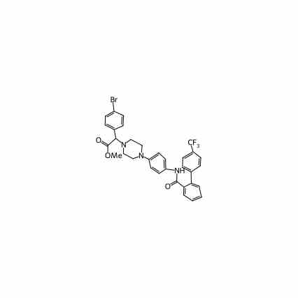 COC(=O)C(c1ccc(Br)cc1)N1CCN(c2ccc(NC(=O)c3ccccc3-c3ccc(C(F)(F)F)cc3)cc2)CC1